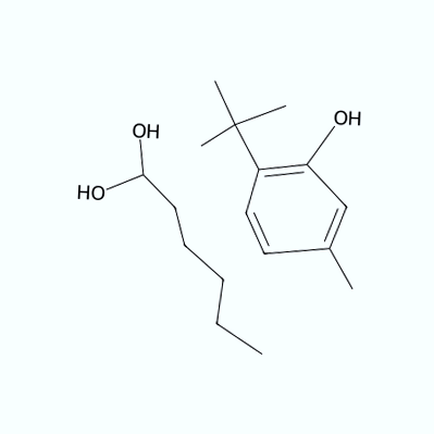 CCCCCC(O)O.Cc1ccc(C(C)(C)C)c(O)c1